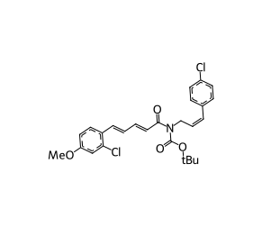 COc1ccc(/C=C/C=C/C(=O)N(C/C=C\c2ccc(Cl)cc2)C(=O)OC(C)(C)C)c(Cl)c1